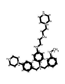 COc1cccc(CN(Cc2ccc(N3CCOCC3)cc2)c2ccc(OCCOCCN3CCOCC3)cc2)c1